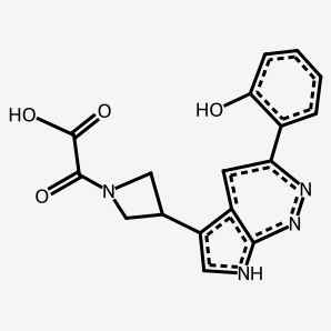 O=C(O)C(=O)N1CC(c2c[nH]c3nnc(-c4ccccc4O)cc23)C1